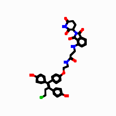 O=C(CCNc1cccc2c1C(=O)N(C1CCC(=O)NC1=O)C2=O)NCCOc1ccc(C(=C(CCCl)c2ccc(O)cc2)c2ccc(O)cc2)cc1